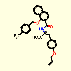 C=CCOc1ccc(C[C@H](NC(=O)c2ccc3ccccc3c2OCc2ccc(C(F)(F)F)cc2)C(=O)O)cc1